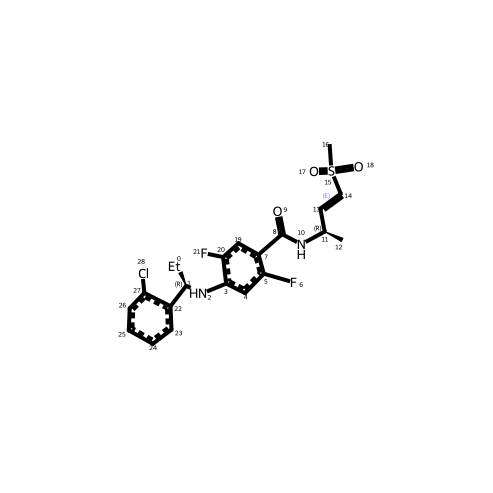 CC[C@@H](Nc1cc(F)c(C(=O)N[C@H](C)/C=C/S(C)(=O)=O)cc1F)c1ccccc1Cl